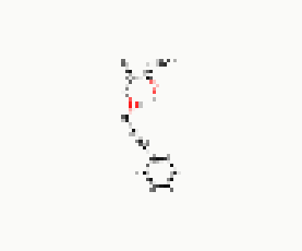 C=C(COCC#Cc1ccccc1)C(=O)OC